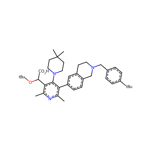 Cc1nc(C)c(C(OC(C)(C)C)C(=O)O)c(N2CCC(C)(C)CC2)c1-c1ccc2c(c1)CCN(Cc1ccc(C(C)(C)C)cc1)C2